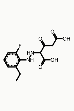 CCc1cccc(F)c1NNC(C(=O)O)C(=O)CC(=O)O